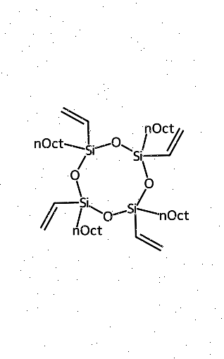 C=C[Si]1(CCCCCCCC)O[Si](C=C)(CCCCCCCC)O[Si](C=C)(CCCCCCCC)O[Si](C=C)(CCCCCCCC)O1